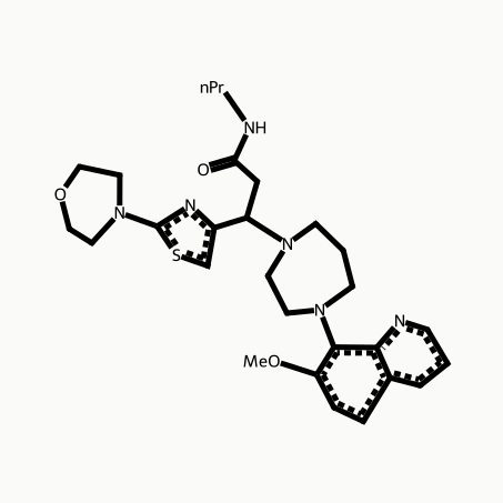 CCCNC(=O)CC(c1csc(N2CCOCC2)n1)N1CCCN(c2c(OC)ccc3cccnc23)CC1